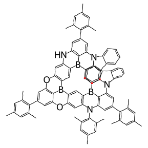 Cc1cc(C)c(-c2cc3c4c(c2)Oc2cc5c(cc2B4c2cc4c(cc2O3)Nc2cc(-c3c(C)cc(C)cc3C)cc3c2B4c2cccc4c6ccccc6n-3c24)B2c3c(cc(-c4c(C)cc(C)cc4C)cc3-n3c4ccccc4c4cccc2c43)N5c2c(C)cc(C)cc2C)c(C)c1